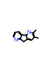 Cc1cc2c(nc1C)-c1cccnc1C2